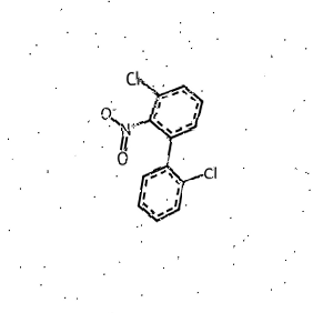 O=[N+]([O-])c1c(Cl)cccc1-c1ccccc1Cl